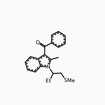 CCC(CSC)n1c(C)c(C(=O)c2ccccc2)c2ccccc21